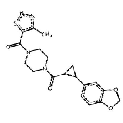 Cc1nnsc1C(=O)N1CCN(C(=O)C2CC2c2ccc3c(c2)OCO3)CC1